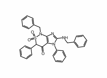 O=C1c2c(nc(NCc3ccccc3)n2-c2ccccc2)N(Cc2ccccc2)S(=O)(=O)C1c1ccccc1